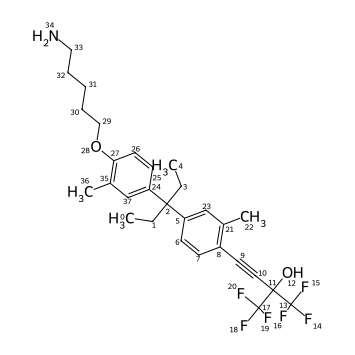 CCC(CC)(c1ccc(C#CC(O)(C(F)(F)F)C(F)(F)F)c(C)c1)c1ccc(OCCCCCN)c(C)c1